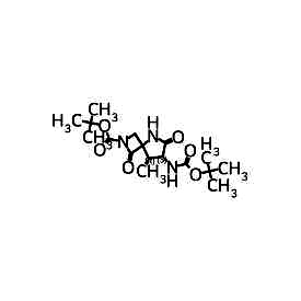 C[C@@H]1[C@H](NC(=O)OC(C)(C)C)C(=O)NC12CN(C(=O)OC(C)(C)C)C2=O